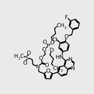 CCCCOP(=O)(OCCCC)OCOC(=O)N(CCS(C)(=O)=O)Cc1ccc(-c2ccc3ncnc(Nc4ccc(OCc5cccc(F)c5)c(Cl)c4)c3c2)o1